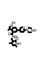 Cc1cc(C)c(CNC(=O)c2cc(-c3ccc(N4CCNC[C@H]4C)nc3)cc3c2c(C)cn3C(C)C)c(=O)[nH]1